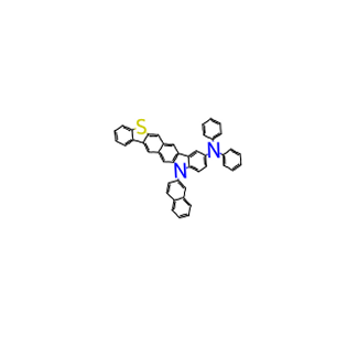 c1ccc(N(c2ccccc2)c2ccc3c(c2)c2cc4cc5sc6ccccc6c5cc4cc2n3-c2ccc3ccccc3c2)cc1